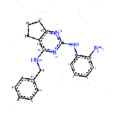 Nc1ccccc1Nc1nc2c(c(NCc3ccccc3)n1)CCC2